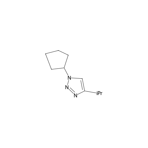 CC(C)c1cn(C2CCCC2)nn1